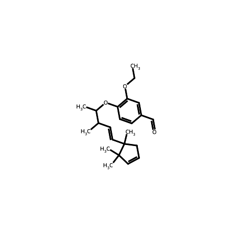 CCOc1cc(C=O)ccc1OC(C)C(C)C=CC1(C)CC=CC1(C)C